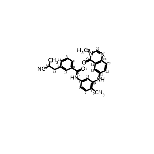 Cc1ccc(NC(=O)c2cccc(CC(C)C#N)c2)cc1Nc1ccc2ncn(C)c(=O)c2c1